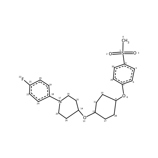 CS(=O)(=O)c1ccc(OC2CCC(OC3CCN(c4ccc(F)cc4)CC3)CC2)cc1